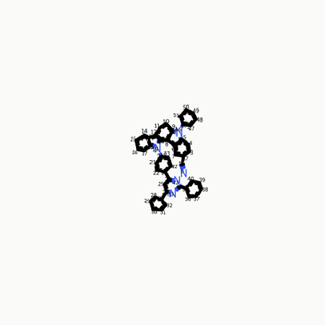 N#Cc1ccc2c(c1)c1c(ccc3c4ccccc4n(-c4ccc(-c5cc(-c6ccccc6)nc(-c6ccccc6)n5)cc4)c31)n2-c1ccccc1